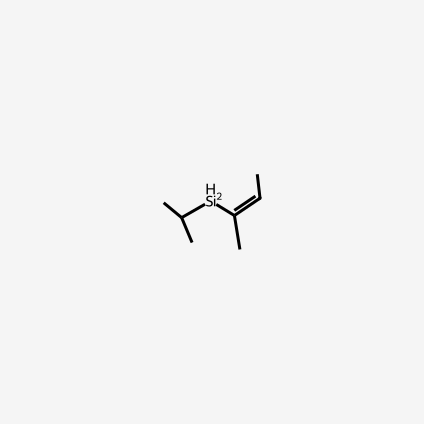 CC=C(C)[SiH2]C(C)C